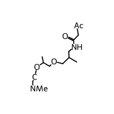 CNCCOC(C)COCC(C)CNC(=O)CC(C)=O